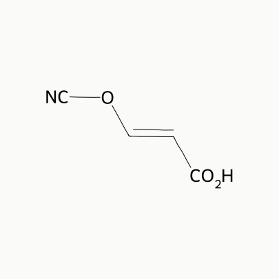 N#COC=CC(=O)O